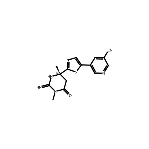 CN1C(=N)N[C@](C)(c2ncc(-c3cncc(C#N)c3)s2)CC1=O